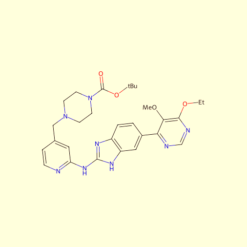 CCOc1ncnc(-c2ccc3nc(Nc4cc(CN5CCN(C(=O)OC(C)(C)C)CC5)ccn4)[nH]c3c2)c1OC